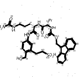 CC(C)[C@H](NC(=O)OCC1c2ccccc2-c2ccccc21)C(=O)N[C@@H](CCCNC(N)=O)C(=O)Nc1ccc(CO)c(CCS(=O)(=O)O)c1